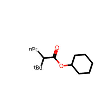 CCCC(C(=O)OC1CCCCC1)C(C)(C)C